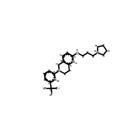 FC(F)(F)c1cccc(N2CCc3nc(OCCCN4CCCC4)ccc3C2)n1